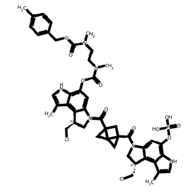 Cc1ccc(COC(=O)N(C)CCN(C)C(=O)Oc2cc3c(c4c(C)c[nH]c24)[C@H](CCl)CN3C(=O)C23CC4(C(=O)N5C[C@@H](CCl)c6c5cc(OP(=O)(O)O)c5[nH]cc(C)c65)CC24C3)cc1